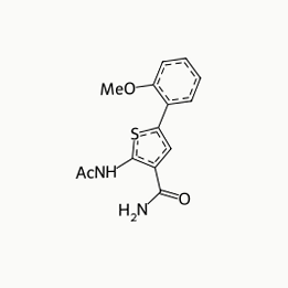 COc1ccccc1-c1cc(C(N)=O)c(NC(C)=O)s1